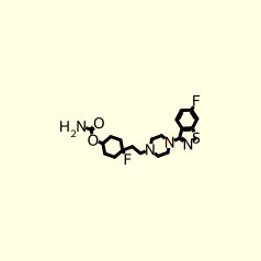 NC(=O)OC1CCC(F)(CCN2CCN(c3nsc4cc(F)ccc34)CC2)CC1